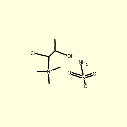 CC(O)C(Cl)[N+](C)(C)C.NS(=O)(=O)[O-]